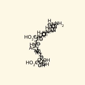 CC(=O)[C@H](Cc1cn(CCO[C@@H]2OC(C(=O)O)C(O)[C@H](O)C2O)nn1)NC(=O)CC[C@H](NC(=O)c1ccc(NCc2cnc3nc(N)nc(O)c3n2)cc1)C(=O)O